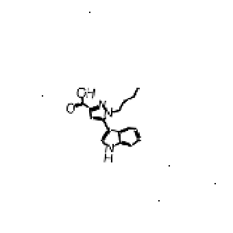 CCCCn1nc(C(=O)O)cc1-c1c[nH]c2ccccc12